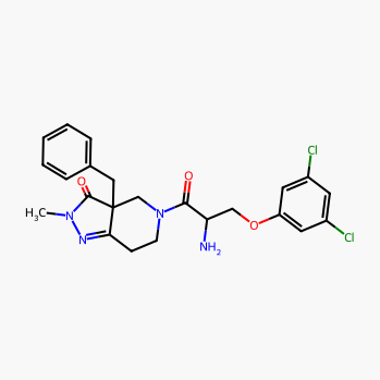 CN1N=C2CCN(C(=O)C(N)COc3cc(Cl)cc(Cl)c3)CC2(Cc2ccccc2)C1=O